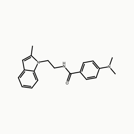 Cc1cc2ccccc2n1CCNC(=O)c1ccc(N(C)C)cc1